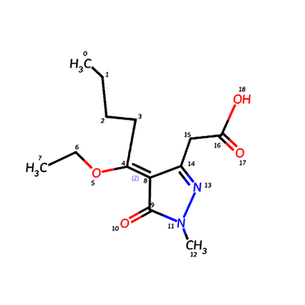 CCCC/C(OCC)=C1/C(=O)N(C)N=C1CC(=O)O